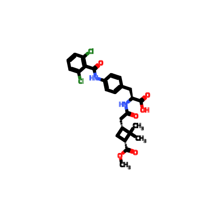 COC(=O)[C@@H]1C[C@H](CC(=O)N[C@@H](Cc2ccc(NC(=O)c3c(Cl)cccc3Cl)cc2)C(=O)O)C1(C)C